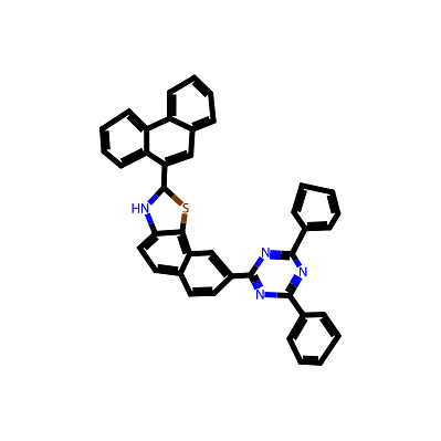 c1ccc(-c2nc(-c3ccccc3)nc(-c3ccc4ccc5c(c4c3)SC(c3cc4ccccc4c4ccccc34)N5)n2)cc1